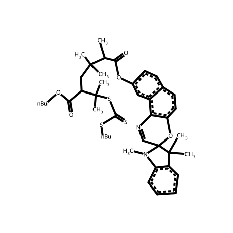 CCCCOC(=O)C(CC(C)(C)C(C)C(=O)Oc1ccc2ccc3c(c2c1)N=CC1(O3)N(C)c2ccccc2C1(C)C)C(C)(C)SC(=S)SCCCC